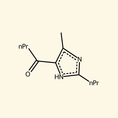 CCCC(=O)c1[nH]c(CCC)nc1C